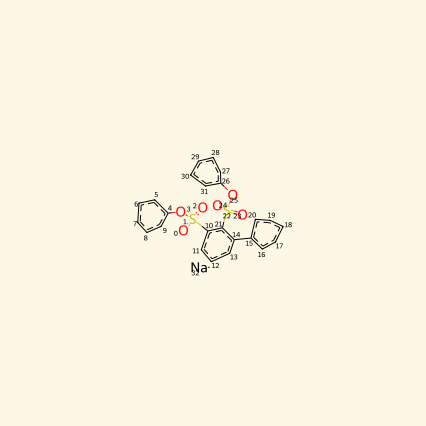 O=S(=O)(Oc1ccccc1)c1cccc(-c2ccccc2)c1S(=O)(=O)Oc1ccccc1.[Na]